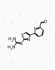 NC(N)=Nc1nc(-c2cccc(C=O)n2)cs1